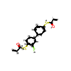 C=CC(=O)Sc1ccc(-c2ccc(SC(=O)C=C)c(F)c2)cc1